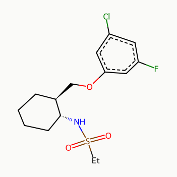 CCS(=O)(=O)N[C@@H]1CCCC[C@H]1COc1cc(F)cc(Cl)c1